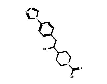 O=C(O)N1CCC(C(O)Cc2ccc(-n3cnnn3)cc2)CC1